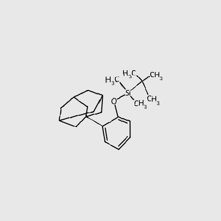 CC(C)(C)[Si](C)(C)Oc1ccccc1C12CC3CC(CC(C3)C1)C2